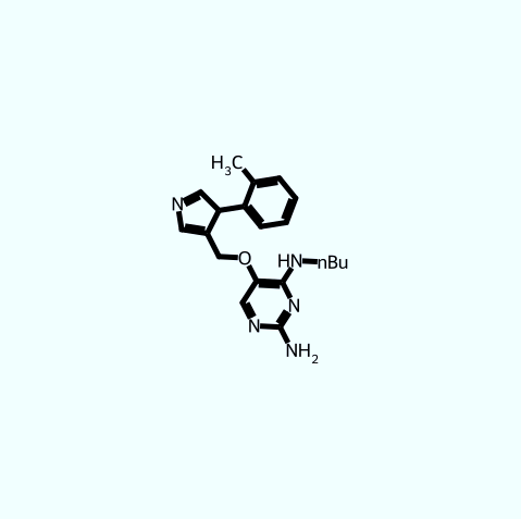 CCCCNc1nc(N)ncc1OCC1=CN=CC1c1ccccc1C